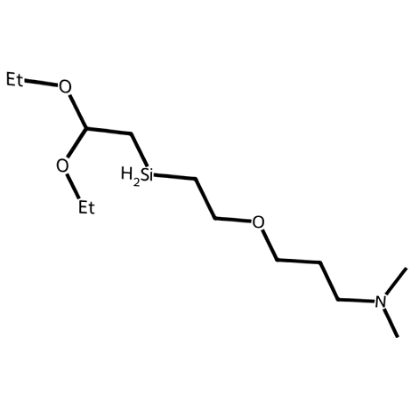 CCOC(C[SiH2]CCOCCCN(C)C)OCC